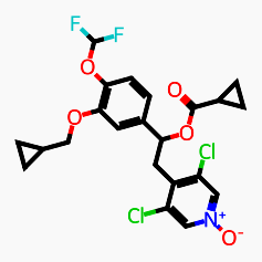 O=C(OC(Cc1c(Cl)c[n+]([O-])cc1Cl)c1ccc(OC(F)F)c(OCC2CC2)c1)C1CC1